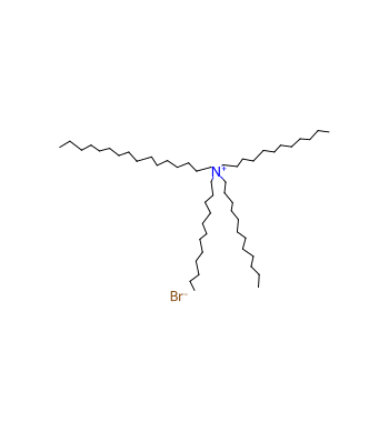 CCCCCCCCCCCCCCCC[N+](CCCCCCCCCCCC)(CCCCCCCCCCCC)CCCCCCCCCCCC.[Br-]